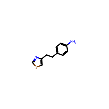 Nc1ccc(CCc2cscn2)cc1